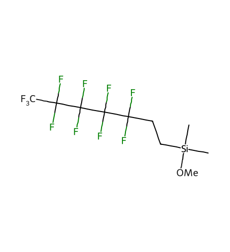 CO[Si](C)(C)CCC(F)(F)C(F)(F)C(F)(F)C(F)(F)C(F)(F)F